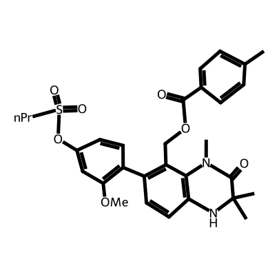 CCCS(=O)(=O)Oc1ccc(-c2ccc3c(c2COC(=O)c2ccc(C)cc2)N(C)C(=O)C(C)(C)N3)c(OC)c1